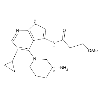 COCCC(=O)Nc1c[nH]c2ncc(C3CC3)c(N3CCC[C@@H](N)C3)c12